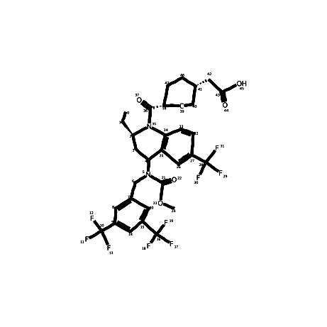 CC[C@@H]1CC(N(Cc2cc(C(F)(F)F)cc(C(F)(F)F)c2)C(=O)OC)c2cc(C(F)(F)F)ccc2N1C(=O)[C@H]1CC[C@@H](CC(=O)O)CC1